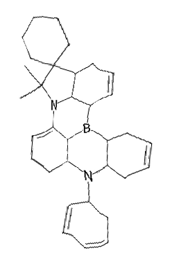 CC1(C)N2C3=CCCC4C3B(C3C=CCC(C32)C12CCCCC2)C1CC=CCC1N4C1C=CC=CC1